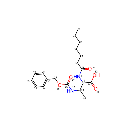 CCCCCCC(=O)NC(C(=O)O)C(C)NC(=O)OCc1ccccc1